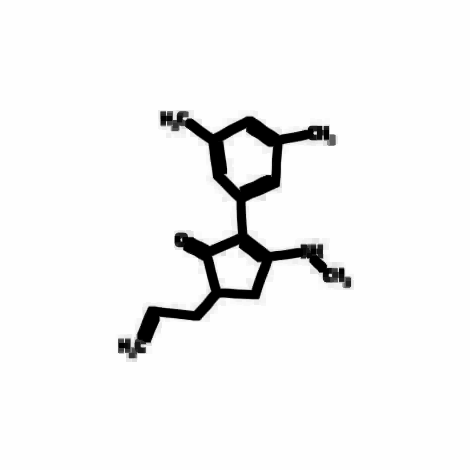 C=CCC1CC(NC)=C(c2cc(C)cc(C)c2)C1=O